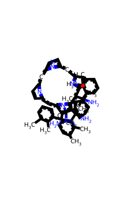 Cc1cccc(C(C)(N)c2c(C(C)(N)c3cccc(C)c3C)c3c(C(C)(N)c4cccc(C)c4C)c4nc(cc5ccc(cc6nc(cc2n3C(C)(N)c2cccc(C)c2C)C=C6)[nH]5)C=C4)c1C